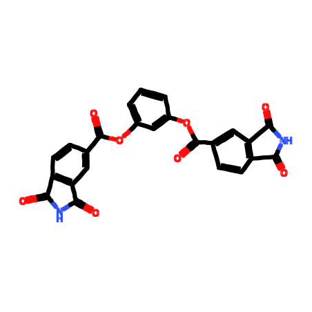 O=C(Oc1cccc(OC(=O)c2ccc3c(c2)C(=O)NC3=O)c1)c1ccc2c(c1)C(=O)NC2=O